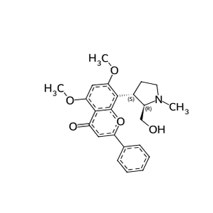 COc1cc(OC)c2c(=O)cc(-c3ccccc3)oc2c1[C@@H]1CCN(C)[C@H]1CO